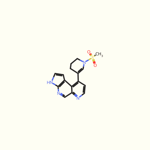 CS(=O)(=O)N1C=C(c2ccnc3cnc4[nH]ccc4c23)CCC1